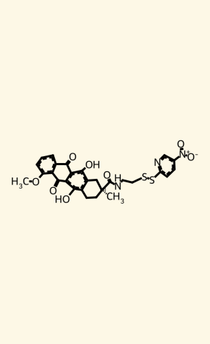 COc1cccc2c1C(=O)c1c(O)c3c(c(O)c1C2=O)C[C@@](C)(C(=O)NCCSSc1ccc([N+](=O)[O-])cn1)CC3